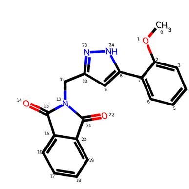 COc1ccccc1-c1cc(CN2C(=O)c3ccccc3C2=O)n[nH]1